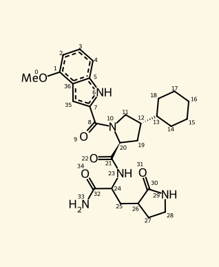 COc1cccc2[nH]c(C(=O)N3C[C@H](C4CCCCC4)C[C@H]3C(=O)NC(CC3CCNC3=O)C(N)=O)cc12